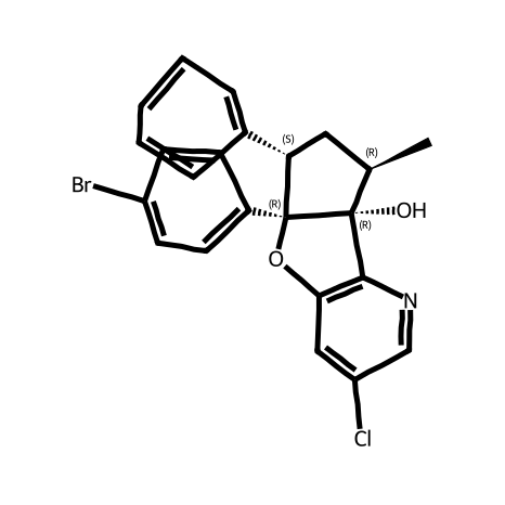 C[C@@H]1C[C@@H](c2ccccc2)[C@]2(c3ccc(Br)cc3)Oc3cc(Cl)cnc3[C@]12O